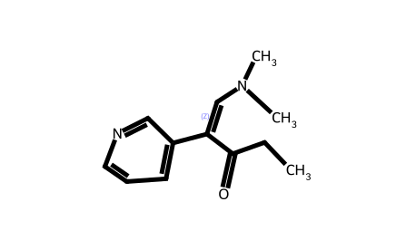 CCC(=O)/C(=C\N(C)C)c1cccnc1